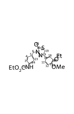 CCOC(=O)Nc1ccc(CN2N=C(c3ccc(OC)c(OCC)c3)CSC2=O)cc1